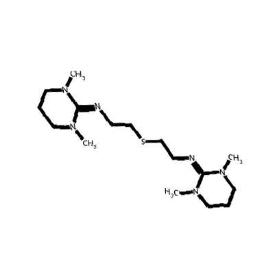 CN1CCCN(C)C1=NCCSCCN=C1N(C)CCCN1C